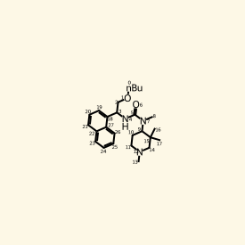 CCCCOCC(NC(=O)N(C)C1CCN(C)CC1(C)C)c1cccc2ccccc12